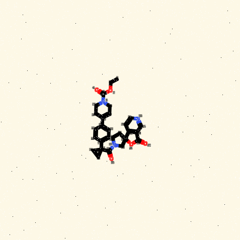 CCOC(=O)N1CC=C(c2ccc(C3(C(=O)N4CCC5(C4)OC(=O)c4cnccc45)CC3)cc2)CC1